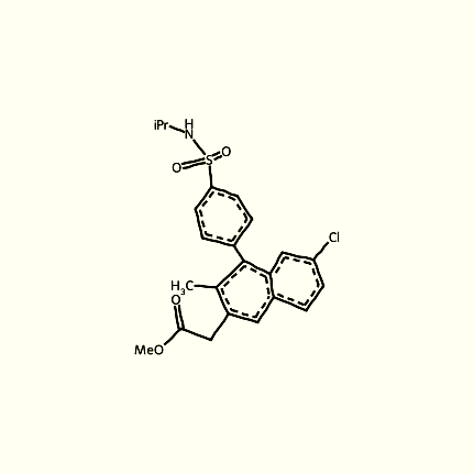 COC(=O)Cc1cc2ccc(Cl)cc2c(-c2ccc(S(=O)(=O)NC(C)C)cc2)c1C